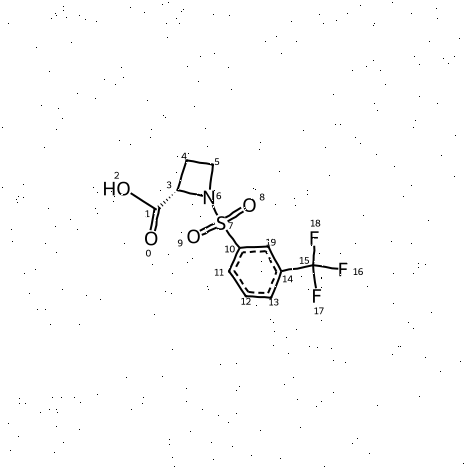 O=C(O)[C@@H]1CCN1S(=O)(=O)c1cccc(C(F)(F)F)c1